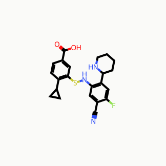 N#Cc1cc(NSc2cc(C(=O)O)ccc2C2CC2)c(C2CCCCN2)cc1F